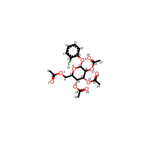 CC(=O)OCC1O[C@@H](Oc2ccccc2F)C(OC(C)=O)[C@@H](OC(C)=O)[C@@H]1OC(C)=O